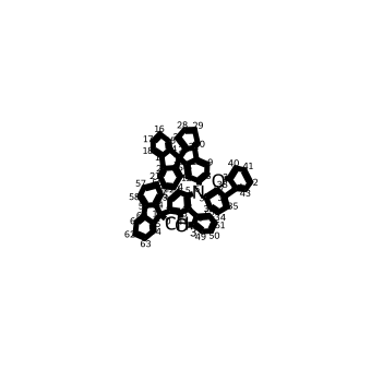 CC1(c2ccc(N(c3ccc4c(c3)C3(c5ccccc5-c5ccccc53)c3ccccc3-4)c3cccc4c3oc3ccccc34)c3c2oc2ccccc23)c2ccccc2-c2ccccc21